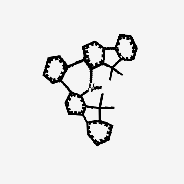 CN1c2c(ccc3c2C(C)(C)c2ccccc2-3)-c2ccccc2-c2ccc3c(c21)C(C)(C)c1ccccc1-3